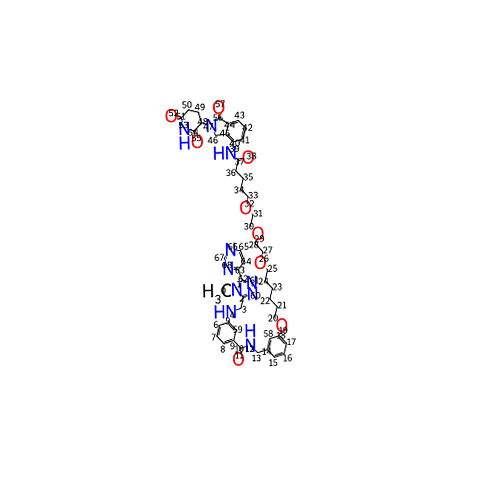 Cn1c(CNc2cccc(C(=O)NCc3cccc(OCCCCCCOCCOCCOCCCCC(=O)Nc4cccc5c4CN(C4CCC(=O)NC4=O)C5=O)c3)c2)nnc1-c1ccncn1